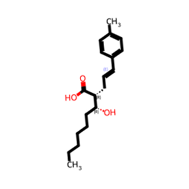 CCCCCC[C@@H](O)[C@@H](C/C=C/c1ccc(C)cc1)C(=O)O